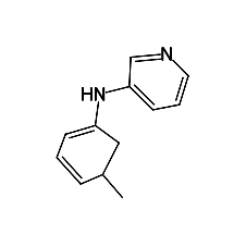 CC1C=CC=C(Nc2cccnc2)C1